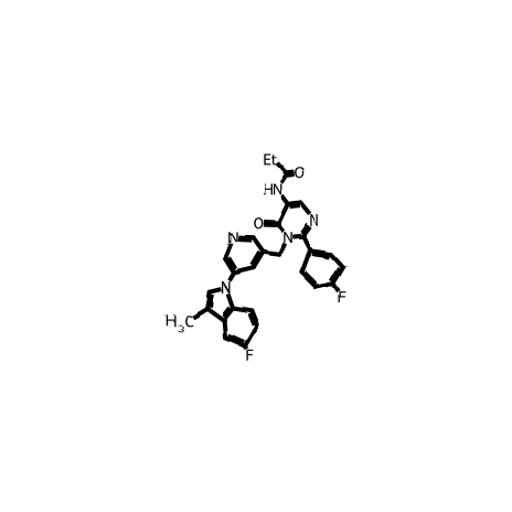 CCC(=O)Nc1cnc(-c2ccc(F)cc2)n(Cc2cncc(-n3cc(C)c4cc(F)ccc43)c2)c1=O